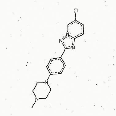 CN1CCN(c2ccc(-c3nc4ccc(Cl)cn4n3)cc2)CC1